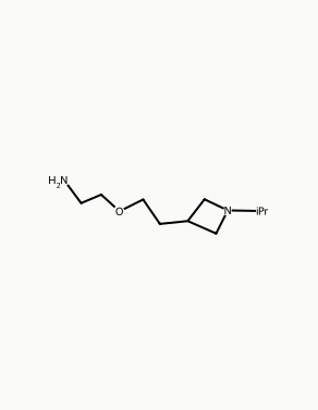 CC(C)N1CC(CCOCCN)C1